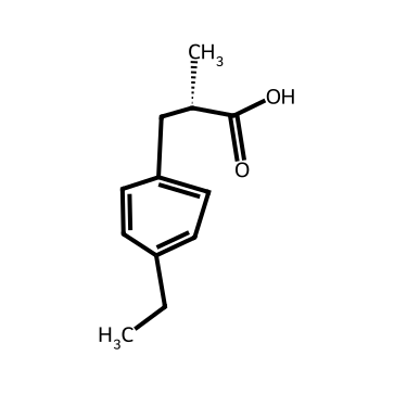 CCc1ccc(C[C@H](C)C(=O)O)cc1